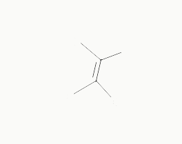 C/C(Cl)=C(/F)Cl